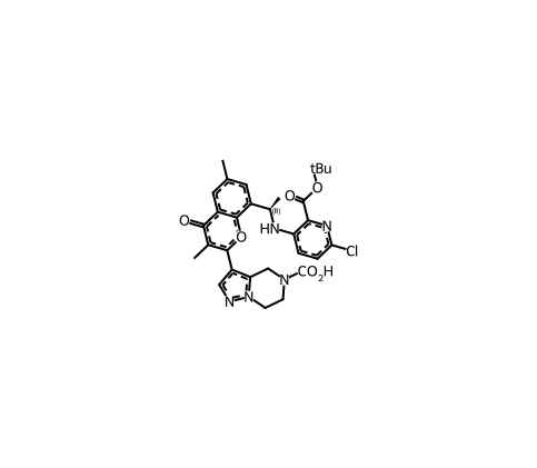 Cc1cc([C@@H](C)Nc2ccc(Cl)nc2C(=O)OC(C)(C)C)c2oc(-c3cnn4c3CN(C(=O)O)CC4)c(C)c(=O)c2c1